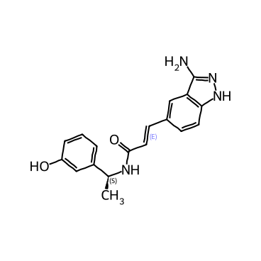 C[C@H](NC(=O)/C=C/c1ccc2[nH]nc(N)c2c1)c1cccc(O)c1